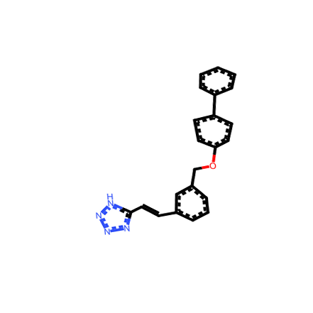 C(=Cc1nnn[nH]1)c1cccc(COc2ccc(-c3ccccc3)cc2)c1